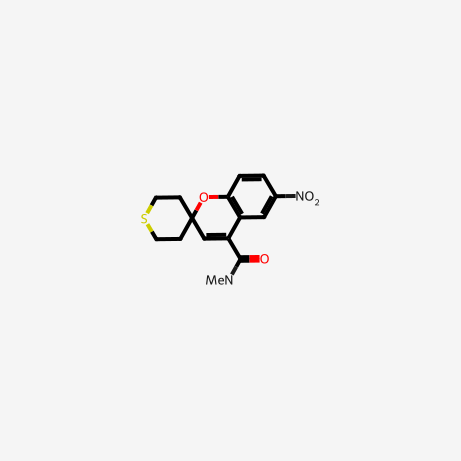 CNC(=O)C1=CC2(CCSCC2)Oc2ccc([N+](=O)[O-])cc21